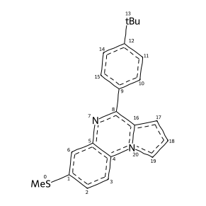 CSc1ccc2c(c1)nc(-c1ccc(C(C)(C)C)cc1)c1cccn12